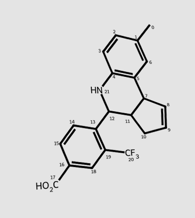 Cc1ccc2c(c1)C1C=CCC1C(c1ccc(C(=O)O)cc1C(F)(F)F)N2